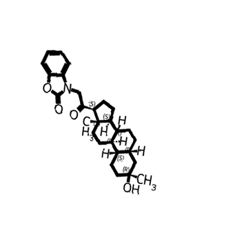 C[C@@]1(O)CC[C@H]2[C@H](CC[C@@H]3[C@@H]2CC[C@]2(C)[C@@H](C(=O)Cn4c(=O)oc5ccccc54)CC[C@@H]32)C1